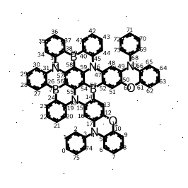 c1ccc(N2c3ccccc3Oc3cc4c(cc32)N2c3ccccc3B3c5ccccc5N5c6ccccc6B6c7ccccc7N7c8cc9c(cc8B4c4c2c3c5c6c47)Oc2ccccc2N9c2ccccc2)cc1